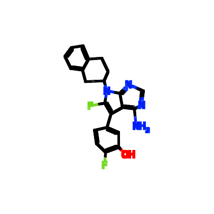 Nc1ncnc2c1c(-c1ccc(F)c(O)c1)c(F)n2C1CCc2ccccc2C1